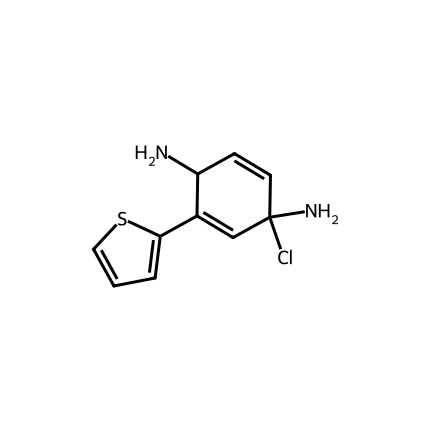 NC1C=CC(N)(Cl)C=C1c1cccs1